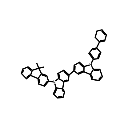 CC1(C)c2ccccc2-c2ccc(-n3c4ccccc4c4cc(-c5ccc6c(c5)c5ccccc5n6-c5ccc(C6=CC=CCC6)cc5)ccc43)cc21